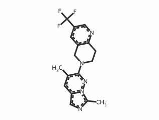 Cc1cc2cnc(C)n2nc1N1CCc2ncc(C(F)(F)F)cc2C1